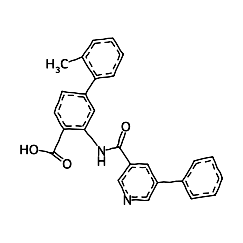 Cc1ccccc1-c1ccc(C(=O)O)c(NC(=O)c2cncc(-c3ccccc3)c2)c1